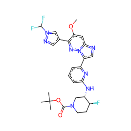 COc1cc2ncc(-c3cccc(N[C@H]4CN(C(=O)OC(C)(C)C)CC[C@@H]4F)n3)n2nc1-c1cnn(C(F)F)c1